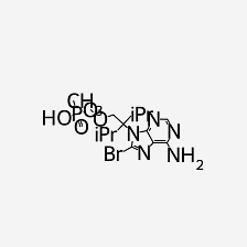 CC(C)C(COOP(C)(=O)O)(C(C)C)n1c(Br)nc2c(N)ncnc21